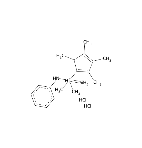 CC1=C(C)C(C)[C]([Hf]([CH3])([CH3])(=[SiH2])[NH]c2ccccc2)=C1C.Cl.Cl